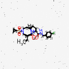 CC[C@H]1CN(S(=O)(=O)C2CC2)CC[C@H]2CC[C@@H](C(=O)NCc3ccc(F)cc3)N2C1=O